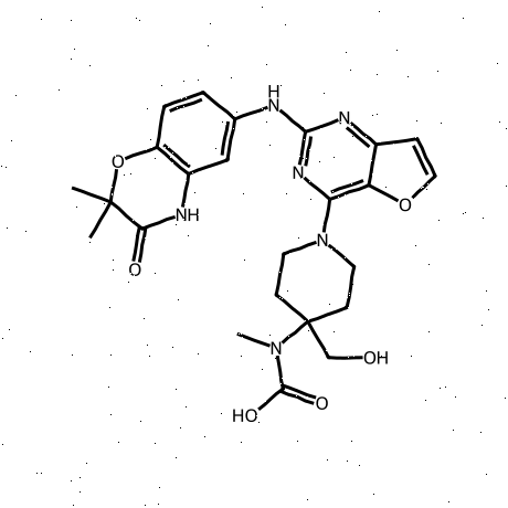 CN(C(=O)O)C1(CO)CCN(c2nc(Nc3ccc4c(c3)NC(=O)C(C)(C)O4)nc3ccoc23)CC1